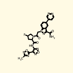 Cc1noc(-c2nonc2NC(=O)C2CC(F)CN2C(=O)Cn2nc(C(N)=O)c3cc(-c4ccnnc4)ccc32)n1